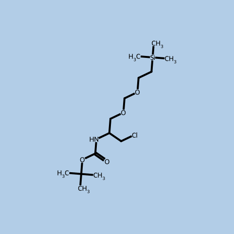 CC(C)(C)OC(=O)NC(CCl)COCOCC[Si](C)(C)C